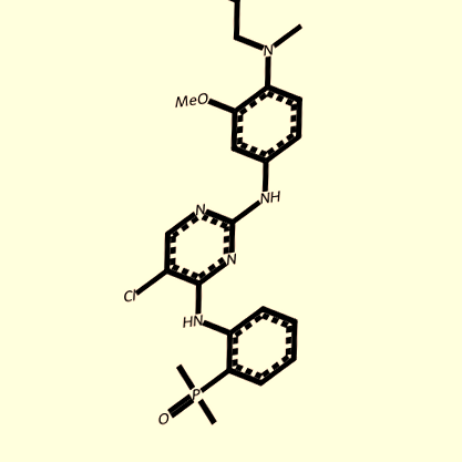 COCCN(C)c1ccc(Nc2ncc(Cl)c(Nc3ccccc3P(C)(C)=O)n2)cc1OC